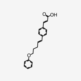 O=C(O)/C=C/c1ccc(/C=C/CCCOc2ccccc2)cc1